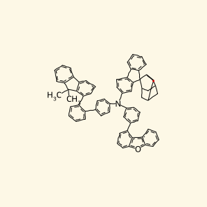 CC1(C)c2ccccc2-c2cccc(-c3ccccc3-c3ccc(N(c4cccc(-c5cccc6oc7ccccc7c56)c4)c4ccc5c(c4)C4(c6ccccc6-5)C5CC6CC(C5)CC4C6)cc3)c21